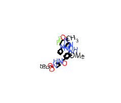 COc1cc(C(=O)N[C@H]2CCN(C(=O)OC(C)(C)C)C2)ccc1Nc1ncc2c(n1)N(C1CCCC1)CC(F)(F)C(=O)N2C